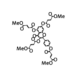 COC(=O)/C=C/C(=O)Oc1ccc(-c2oc3cc(OC(=O)/C=C/C(=O)OC)cc(OC(=O)/C=C/C(=O)OC)c3c(=O)c2OC(=O)/C=C/C(=O)OC)cc1